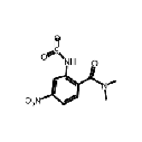 CN(C)C(=O)c1ccc([N+](=O)[O-])cc1N[SH](=O)=O